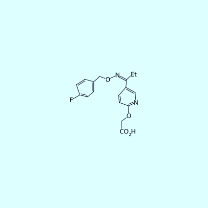 CCC(=NOCc1ccc(F)cc1)c1ccc(OCC(=O)O)nc1